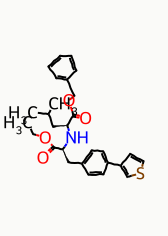 CCOC(=O)[C@H](Cc1ccc(-c2ccsc2)cc1)N[C@@H](CC(C)C)C(=O)OCc1ccccc1